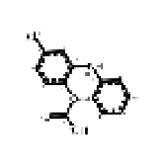 O=C(O)Oc1ccc(Cl)cc1Nc1ccccc1